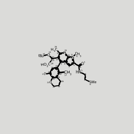 CSCCNC(=O)c1cc2c(-c3cc(F)c4c(c3C)CCCO4)c([C@H](OC(C)(C)C)C(=O)O)c(C)nc2n1C